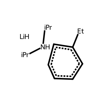 CC(C)NC(C)C.CCc1ccccc1.[LiH]